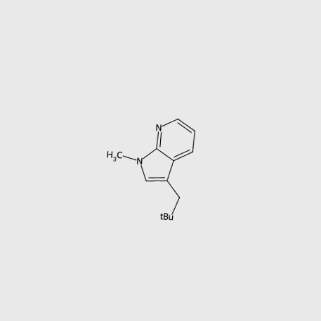 Cn1cc(CC(C)(C)C)c2cccnc21